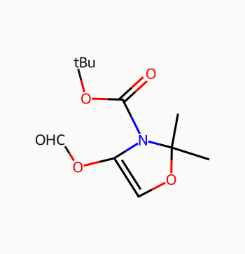 CC(C)(C)OC(=O)N1C(OC=O)=COC1(C)C